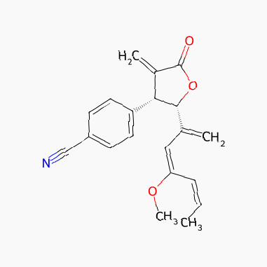 C=C(/C=C(\C=C/C)OC)[C@H]1OC(=O)C(=C)[C@H]1c1ccc(C#N)cc1